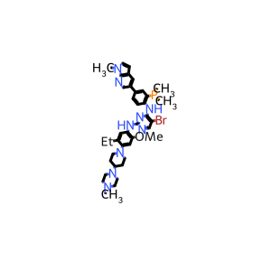 CCc1cc(Nc2ncc(Br)c(Nc3ccc(-c4cnc5c(ccn5C)c4)cc3P(C)C)n2)c(OC)cc1N1CCC(N2CCN(C)CC2)CC1